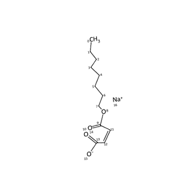 CCCCCCCCOC(=O)/C=C\C(=O)[O-].[Na+]